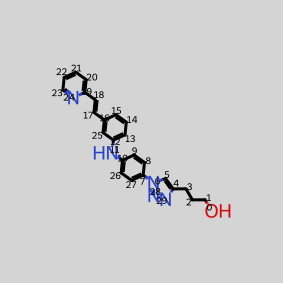 OCCCc1cn(-c2ccc(Nc3cccc(C=Cc4ccccn4)c3)cc2)nn1